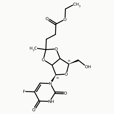 CCOC(=O)CCC1(C)OC2C(O1)[C@@H](CO)O[C@H]2n1cc(F)c(=O)[nH]c1=O